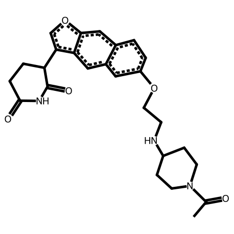 CC(=O)N1CCC(NCCOc2ccc3cc4occ(C5CCC(=O)NC5=O)c4cc3c2)CC1